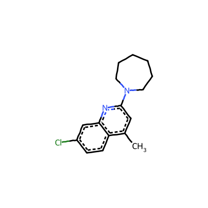 Cc1cc(N2CCCCCC2)nc2cc(Cl)ccc12